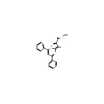 CCOC(=O)c1nn2c(-c3ccccc3)cc(-c3ccccc3)nc2c1F